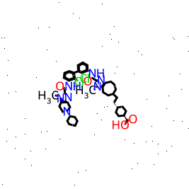 Cn1c(C(=O)Nc2cccc(-c3cccc(NC(=O)c4nc5c(n4C)CCN(C4CCCCC4)C5)c3Cl)c2Cl)nc2c1CCC(CC[C@H]1CC[C@H](C(=O)O)CC1)CCC2